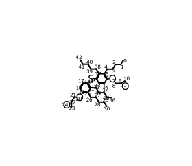 CCCCCc1c(OCC2CO2)ccc(Sc2ccc(OCC3CO3)c(CCCCC)c2CCCCC)c1CCCCC